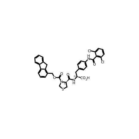 O=C(Nc1ccc(C[C@H](NC(=O)[C@H]2CSCN2C(=O)OCc2cccc3c2Cc2ccccc2-3)C(=O)O)cc1)c1c(Cl)cccc1Cl